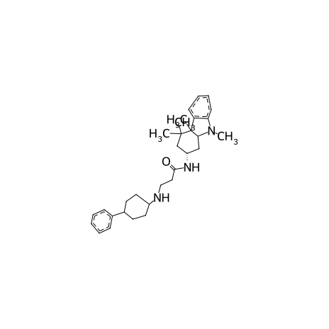 CN1c2ccccc2C2(C)C1C[C@H](NC(=O)CCNC1CCC(c3ccccc3)CC1)CC2(C)C